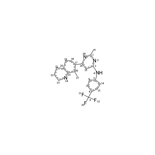 Cc1nc(Nc2ccc(C(F)(F)F)cc2)cc(-c2ccc3cccnc3c2C)n1